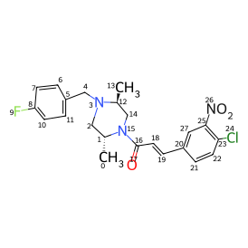 C[C@@H]1CN(Cc2ccc(F)cc2)[C@@H](C)CN1C(=O)/C=C/c1ccc(Cl)c([N+](=O)[O-])c1